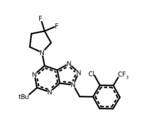 CC(C)(C)c1nc(N2CCC(F)(F)C2)c2nnn(Cc3cccc(C(F)(F)F)c3Cl)c2n1